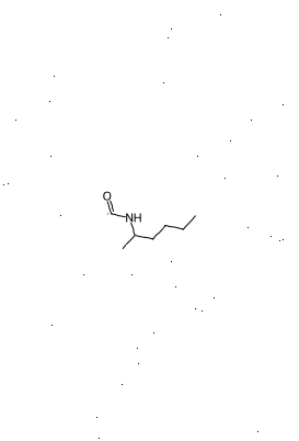 CCCCC(C)N[C]=O